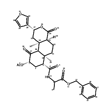 CC(=O)O[C@H]1C[C@@H](C(=O)NC(C)C(=O)OCc2ccccc2)[C@]2(C)CC[C@@H]3C(=O)O[C@@H](c4ccoc4)C[C@]3(C)C2C1=O